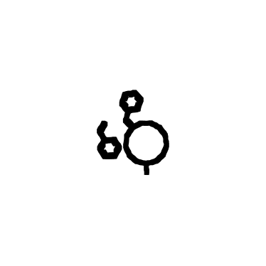 C=Cc1ccccc1.CC1CCCCCCCC(=Cc2ccccc2)CCCC1